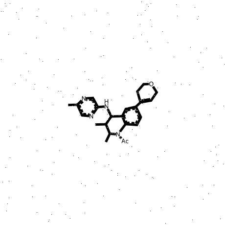 CC(=O)N1c2ccc(C3=CCOCC3)cc2C(Nc2cnc(C)cn2)C(C)C1C